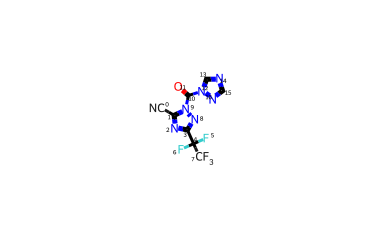 N#Cc1nc(C(F)(F)C(F)(F)F)nn1C(=O)n1cncn1